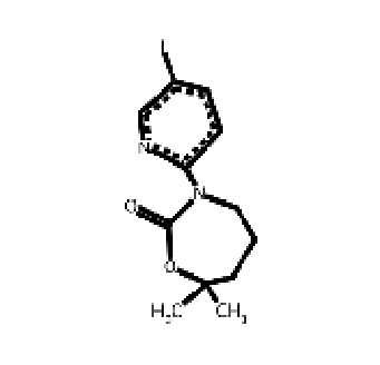 CC1(C)CCCN(c2ccc(I)cn2)C(=O)O1